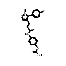 Cn1ncc(/C=C/C(=O)Nc2ccc(SC(=O)O)cc2)c1-c1ccc(F)cc1